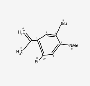 C=C(C)c1cc(C(C)(C)C)c(NC)cc1CC